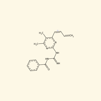 C=C/C=C\c1nc(NC(=N)NC(=O)c2ccccc2)nc(C)c1C